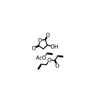 C=CCOC(=O)C=C.C=COC(C)=O.O=C1CC(O)C(=O)O1